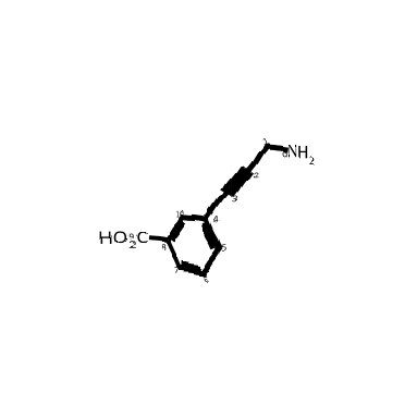 NCC#Cc1cccc(C(=O)O)c1